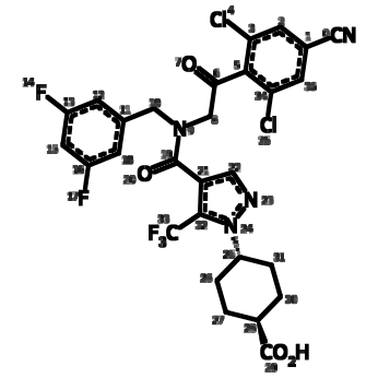 N#Cc1cc(Cl)c(C(=O)CN(Cc2cc(F)cc(F)c2)C(=O)c2cnn([C@H]3CC[C@H](C(=O)O)CC3)c2C(F)(F)F)c(Cl)c1